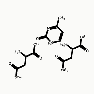 NC(=O)CC(N)C(=O)O.NC(=O)CC(N)C(=O)O.Nc1cc[nH]c(=O)n1